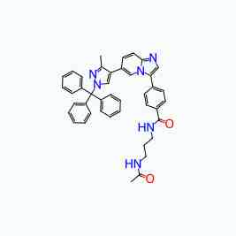 CC(=O)NCCCNC(=O)c1ccc(-c2cnc3ccc(-c4cn(C(c5ccccc5)(c5ccccc5)c5ccccc5)nc4C)cn23)cc1